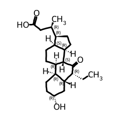 CC[C@H]1C(=O)[C@H]2[C@@H]3CC[C@H]([C@H](C)CC(=O)O)[C@@H]3CC[C@@H]2[C@@H]2CC[C@@H](O)C[C@H]21